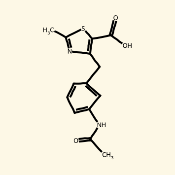 CC(=O)Nc1cccc(Cc2nc(C)sc2C(=O)O)c1